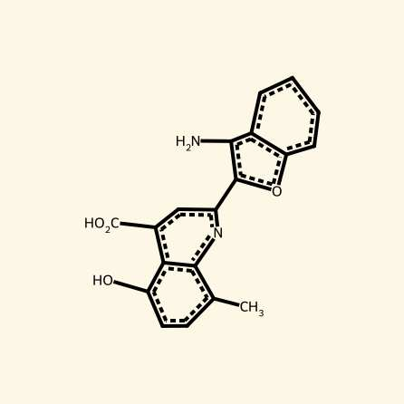 Cc1ccc(O)c2c(C(=O)O)cc(-c3oc4ccccc4c3N)nc12